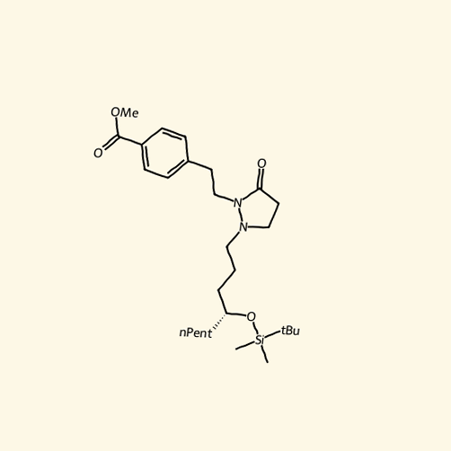 CCCCC[C@H](CCCN1CCC(=O)N1CCc1ccc(C(=O)OC)cc1)O[Si](C)(C)C(C)(C)C